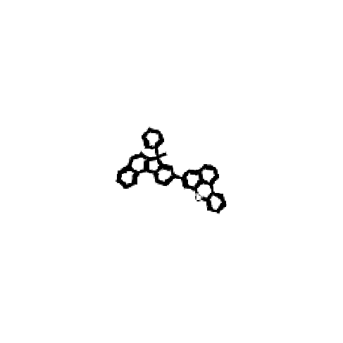 CC1(c2ccccc2)c2cc(-c3cc4c5c(cccc5c3)-c3ccccc3O4)ccc2-c2c1ccc1ccccc21